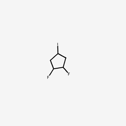 FC1CC(I)CC1F